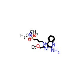 CCOCc1nc2c(N)nc3ccccc3c2n1CCCCS(=O)(=O)N(C)C